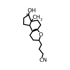 CC12CCC3=C(CCC(CCCC#N)O3)C1CC[C@H]2O